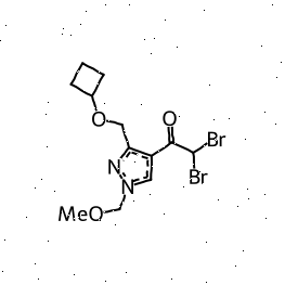 COCn1cc(C(=O)C(Br)Br)c(COC2CCC2)n1